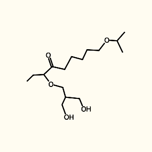 CCC(OCC(CO)CO)C(=O)CCCCCOC(C)C